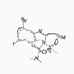 CN(C)S(=O)(=O)[N+]1(S(C)(=O)=O)C(C#N)=Nc2c(Br)cc(F)cc21